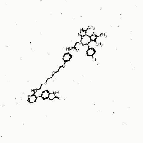 Cc1sc2c(c1C)C(c1ccc(Cl)cc1)=N[C@@H](CC(=O)Nc1ccc(OCCOCCOCCNc3ncccc3-c3ccc4c(c3)CC(=O)N4)cc1)c1nnc(C)n1-2